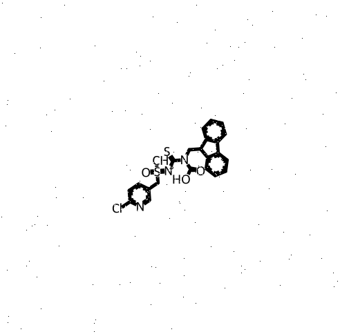 CS(=O)(Cc1ccc(Cl)nc1)=NC(=S)N(CC1c2ccccc2-c2ccccc21)C(=O)O